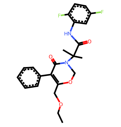 CCOCC1=C(c2ccccc2)C(=O)N(C(C)(C)C(=O)Nc2cc(F)ccc2F)CO1